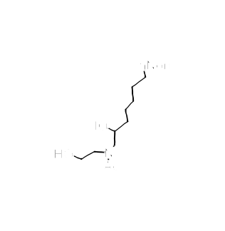 CCCCCCCCCCCCCCC(O)CN(CCO)C(C)=O